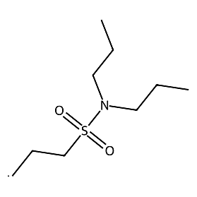 [CH2]CCS(=O)(=O)N(CCC)CCC